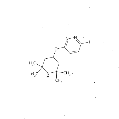 CC1(C)CC(Oc2ccc(I)nn2)CC(C)(C)N1